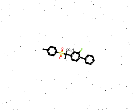 Cc1ccc(S(=O)(=O)C(C)(C(=O)O)c2ccc(-c3ccccc3)c(F)c2)cc1